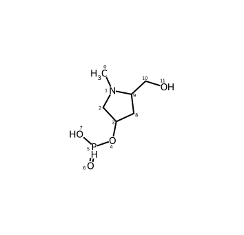 CN1CC(O[PH](=O)O)CC1CO